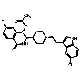 O=C1NC(C2CCN(CCc3c[nH]c4ccc(Cl)cc34)CC2)N(OC(=O)C(F)(F)F)c2cc(F)ccc21